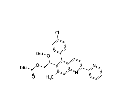 Cc1cc2nc(-c3ccccn3)ccc2c(-c2ccc(Cl)cc2)c1[C@@H](COC(=O)C(C)(C)C)OC(C)(C)C